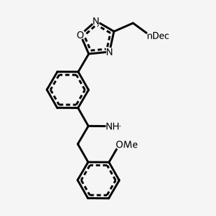 CCCCCCCCCCCc1noc(-c2cccc(C([NH])Cc3ccccc3OC)c2)n1